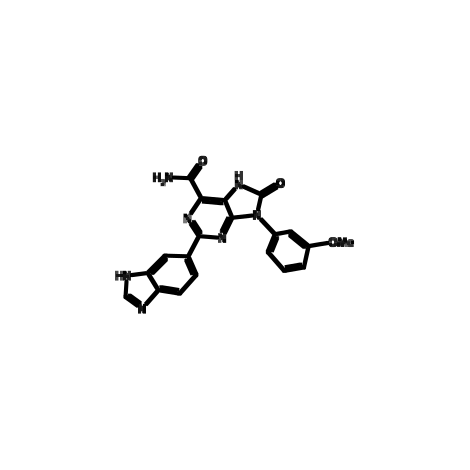 COc1cccc(-n2c(=O)[nH]c3c(C(N)=O)nc(-c4ccc5nc[nH]c5c4)nc32)c1